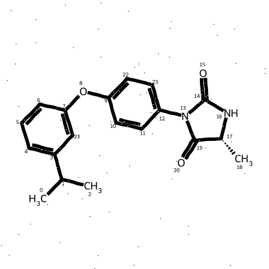 CC(C)c1cccc(Oc2ccc(N3C(=O)N[C@H](C)C3=O)cc2)c1